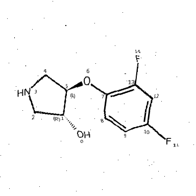 O[C@@H]1CNC[C@H]1Oc1ccc(F)cc1F